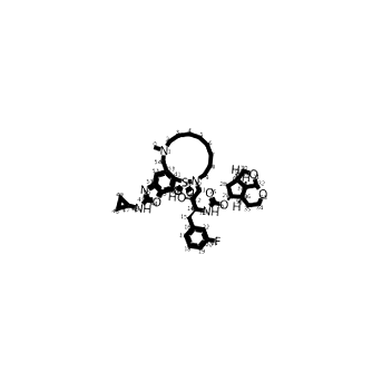 CN1CCCCCCCCN(C[C@@H](O)[C@H](Cc2cccc(F)c2)NC(=O)O[C@H]2C[C@H]3COC4OCC[C@@H]2[C@H]43)S(=O)(=O)c2cc3oc(NC4CC4)nc3cc2C1